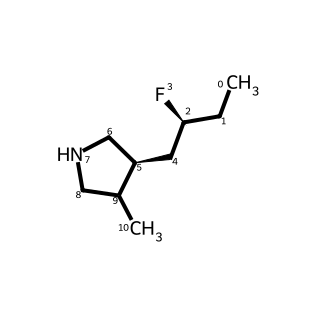 CC[C@H](F)C[C@@H]1CNCC1C